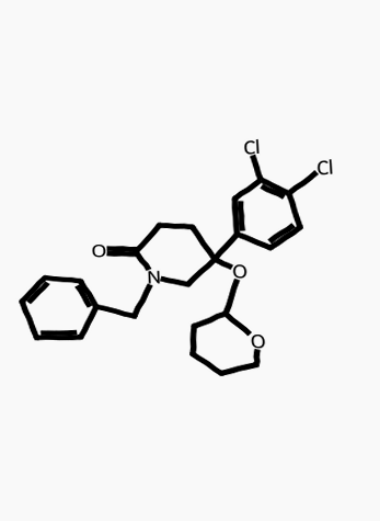 O=C1CCC(OC2CCCCO2)(c2ccc(Cl)c(Cl)c2)CN1Cc1ccccc1